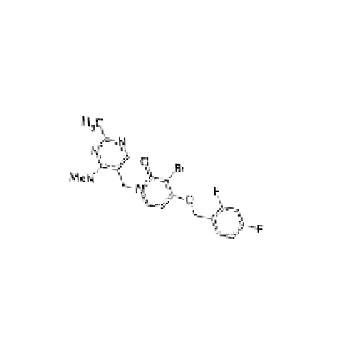 CNc1nc(C)ncc1Cn1ccc(OCc2ccc(F)cc2F)c(Br)c1=O